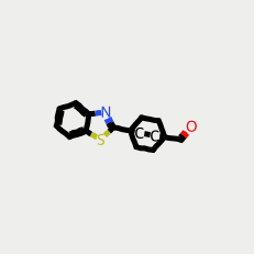 O=CC12CCC(c3nc4ccccc4s3)(CC1)CC2